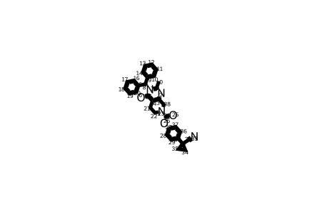 Cc1nc2c(c(=O)n1C(c1ccccc1)c1ccccc1)CCN(C(=O)Oc1ccc(C3(C#N)CC3)cc1)C2